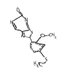 COc1cc(SC)ccc1C1=NC2=NC(=O)N=CC2=N1